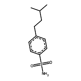 CC(C)CCc1ccc(S(N)(=O)=O)cc1